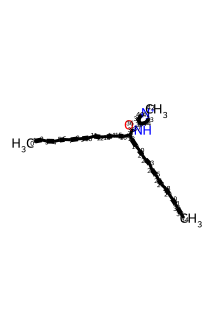 CC#CC#CC#CC#CC#CC#CC#CC#CC(C#CC#CC#CC#CC#CC#CC#CC#CC)C(=O)Nc1cc[n+](C)cc1